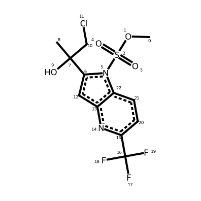 COS(=O)(=O)n1c(C(C)(O)CCl)cc2nc(C(F)(F)F)ccc21